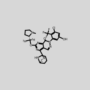 [2H]C([2H])(Oc1nc(N2CC3CCC2CN3)c2cnn(-c3cc(O)cc(Cl)c3C(F)(F)F)c(=O)c2n1)[C@@H]1CCCN1C